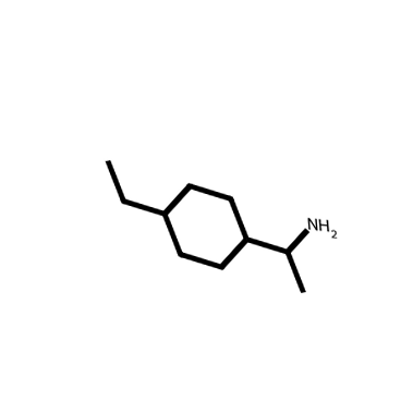 CCC1CCC(C(C)N)CC1